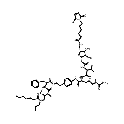 CCCCCCC(=O)N(CCC)CC(OC)C(C)C(=O)N[C@@H](Cc1ccccc1)C(=O)NCCc1ccc(NC(=O)C(CCCNC(N)=O)NC(=O)C(NC(=O)C[C@@H]2O[C@H](CNC(=O)CCCCCN3C(=O)C=CC3=O)C(O)C2O)C(C)C)cc1